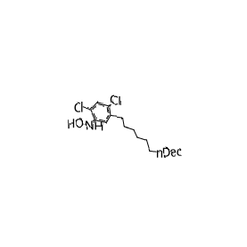 CCCCCCCCCCCCCCCCc1cc(NO)c(Cl)cc1Cl